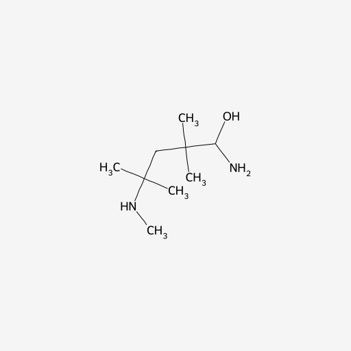 CNC(C)(C)CC(C)(C)C(N)O